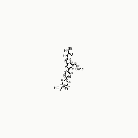 CCNC(=O)Nc1nc2cc(-c3cnc(N4CCC(CC)(C(=O)O)CC4)nc3)cc(/C=N\OC)c2s1